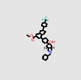 CCOC(=O)c1cc(-c2ccc(C3(O)C[C@H]4CN(Cc5ccccc5)C[C@@H]4C3)cc2)c2ccc(-c3ccc(C(F)(F)F)cc3)cc2c1